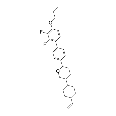 C=CC1CCC(C2CCC(c3ccc(-c4ccc(OCCC)c(F)c4F)cc3)OC2)CC1